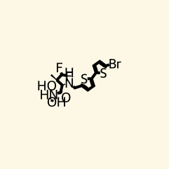 C[C@@](O)(C(F)F)[C@H](NCc1ccc(-c2ccc(Br)s2)s1)C(=O)NO